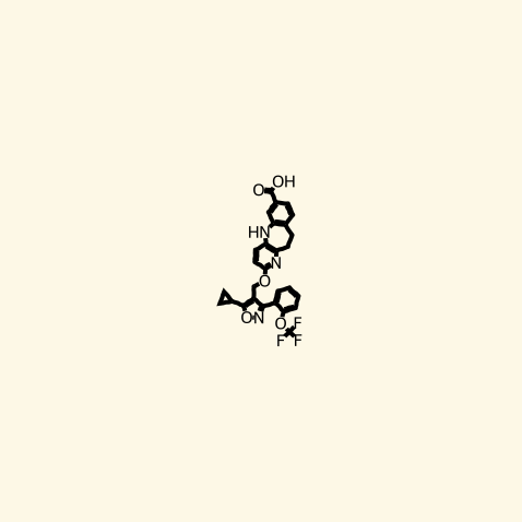 O=C(O)c1ccc2c(c1)Nc1ccc(OCc3c(-c4ccccc4OC(F)(F)F)noc3C3CC3)nc1CC2